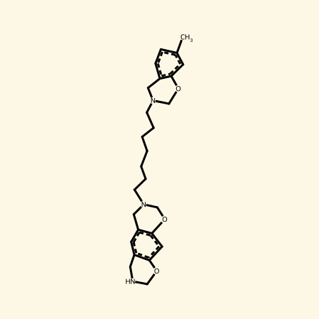 Cc1ccc2c(c1)OCN(CCCCCCCN1COc3cc4c(cc3C1)CNCO4)C2